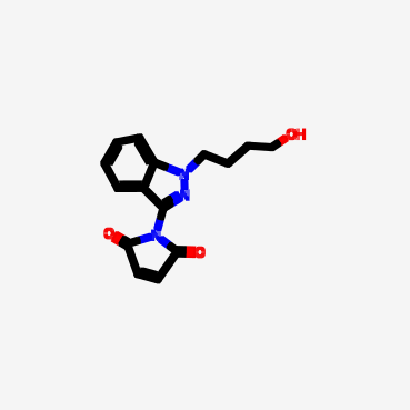 O=C1C=CC(=O)N1c1nn(CCCCO)c2ccccc12